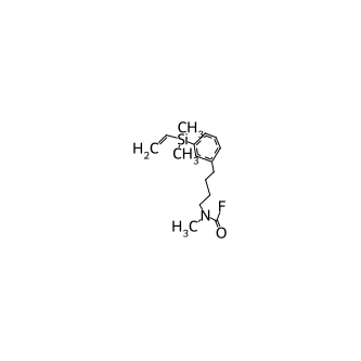 C=C[Si](C)(C)c1cccc(CCCCN(C)C(=O)F)c1